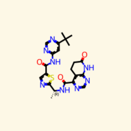 C[C@@H](NC(=O)c1ncnc2c1CCC(=O)N2)c1ncc(C(=O)Nc2cc(C(C)(C)C)ncn2)s1